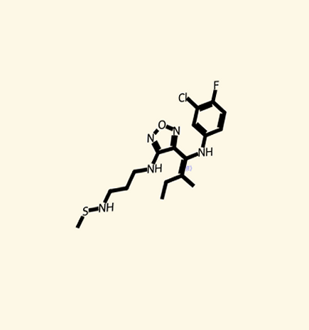 CC/C(C)=C(/Nc1ccc(F)c(Cl)c1)c1nonc1NCCCNSC